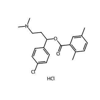 Cc1ccc(C)c(C(=O)OC(CCN(C)C)c2ccc(Cl)cc2)c1.Cl